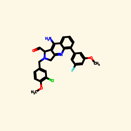 COc1cc(F)cc(-c2cccc3c(N)c4c(nc23)CN(Cc2ccc(OC)c(Cl)c2)C4C=O)c1